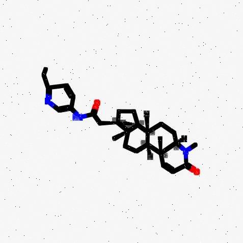 CCc1ccc(NC(=O)C[C@H]2CC[C@H]3[C@@H]4CC[C@H]5N(C)C(=O)C=C[C@]5(C)[C@H]4CC[C@]23C)cn1